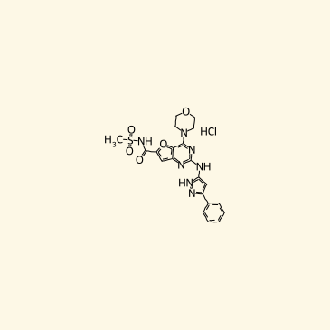 CS(=O)(=O)NC(=O)c1cc2nc(Nc3cc(-c4ccccc4)n[nH]3)nc(N3CCOCC3)c2o1.Cl